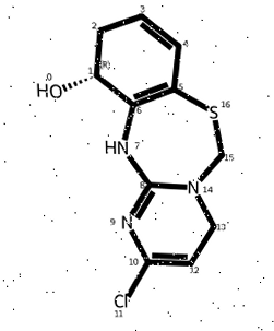 O[C@@H]1CC=CC2=C1NC1=NC(Cl)=CCN1CS2